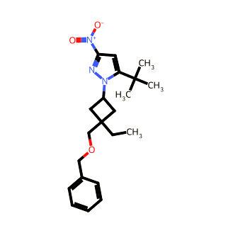 CCC1(COCc2ccccc2)CC(n2nc([N+](=O)[O-])cc2C(C)(C)C)C1